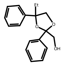 CCC1(c2ccccc2)COC(CO)(c2ccccc2)O1